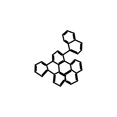 c1ccc2c(-c3ccc4c5ccccc5c5ccccc5c4c3-c3cccc4ccccc34)cccc2c1